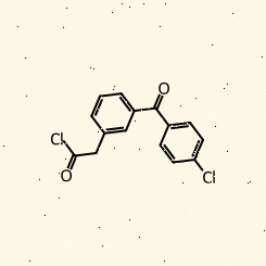 O=C(Cl)Cc1cccc(C(=O)c2ccc(Cl)cc2)c1